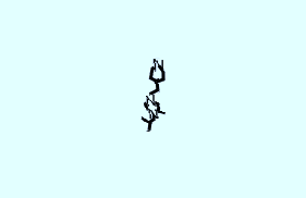 CC(C)CN1CCN(CCC2CCN(C)CC2)CC1C